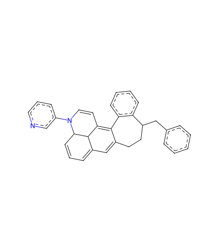 C1=CC2C3C(=C1)C=C1CCC(Cc4ccccc4)c4ccccc4C1=C3C=CN2c1cccnc1